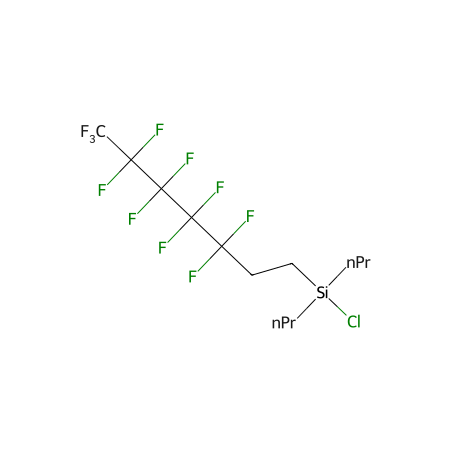 CCC[Si](Cl)(CCC)CCC(F)(F)C(F)(F)C(F)(F)C(F)(F)C(F)(F)F